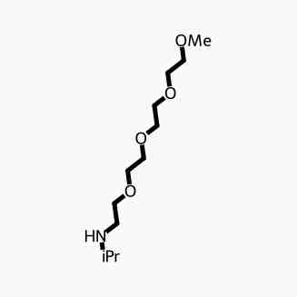 COCCOCCOCCOCCNC(C)C